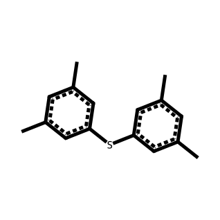 Cc1cc(C)cc(Sc2cc(C)cc(C)c2)c1